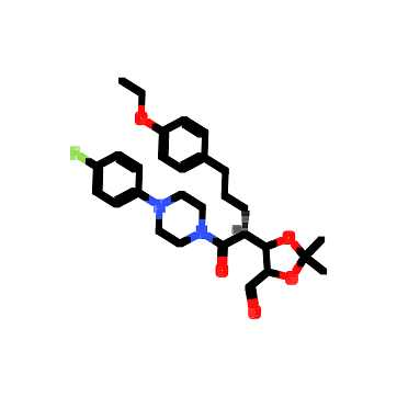 CCOc1ccc(CCC[C@@H](C(=O)N2CCN(c3ccc(F)cc3)CC2)C2OC(C)(C)OC2C=O)cc1